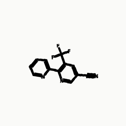 N#Cc1cnc(-c2ccccn2)c(C(F)(F)F)c1